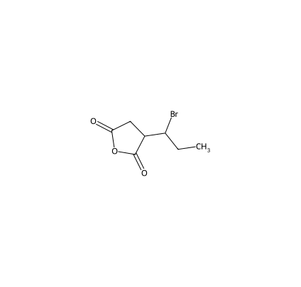 CCC(Br)C1CC(=O)OC1=O